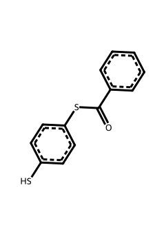 O=C(Sc1ccc(S)cc1)c1ccccc1